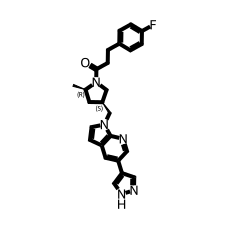 C[C@@H]1C[C@H](Cn2ccc3cc(-c4cn[nH]c4)cnc32)CN1C(=O)CCc1ccc(F)cc1